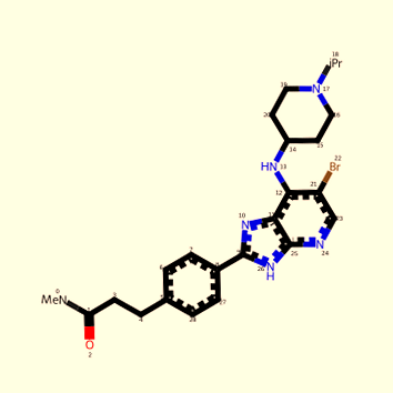 CNC(=O)CCc1ccc(-c2nc3c(NC4CCN(C(C)C)CC4)c(Br)cnc3[nH]2)cc1